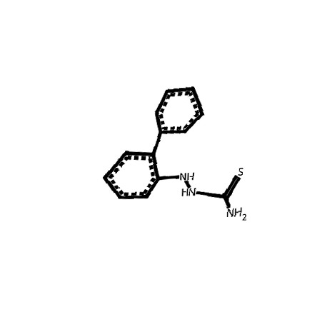 NC(=S)NNc1ccccc1-c1ccccc1